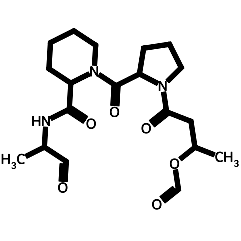 CC(C=O)NC(=O)C1CCCCN1C(=O)C1CCCN1C(=O)CC(C)OC=O